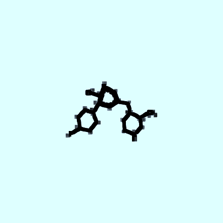 C[C@H]1CNCCN1Cc1cnc(Cl)c(N2CCC(F)CC2)c1